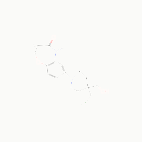 C[C@H]1COc2ccc(N3CCC(CO)(CCl)CC3)cc2N(C)C1=O